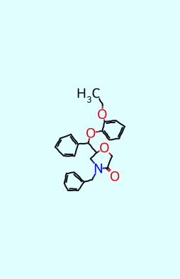 CCOc1ccccc1OC(c1ccccc1)C1CN(Cc2ccccc2)C(=O)CO1